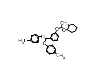 Cc1ccc(OC(Oc2ccc(C)cc2)c2cccc(OC(C)OC3CCCCC3)c2)cc1